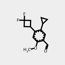 COc1cc(C2CC(F)(F)C2)c(C2CC2)cc1C=O